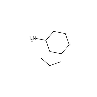 CCC.NC1CCCCC1